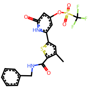 Cc1cc(-c2cc(OS(=O)(=O)C(F)(F)F)cc(=O)[nH]2)sc1C(=O)NCc1ccccc1